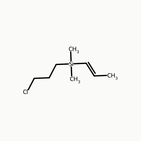 CC=C[Si](C)(C)CCCCl